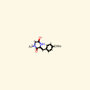 COc1ccc(/C=C2\NC(=O)CN(C(C)=O)C2=O)cc1